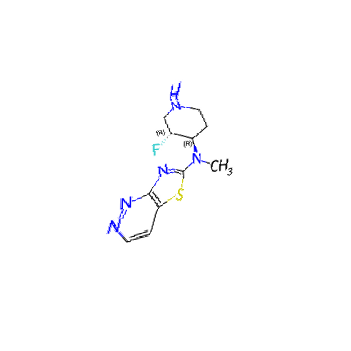 CN(c1nc2nnccc2s1)[C@@H]1CCNC[C@H]1F